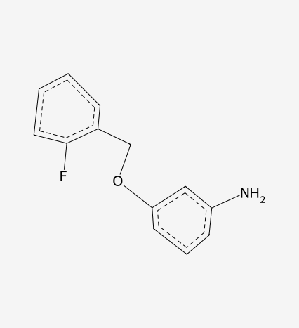 Nc1cccc(OCc2ccccc2F)c1